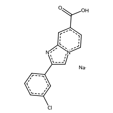 O=C(O)c1ccn2cc(-c3cccc(Cl)c3)nc2c1.[Na]